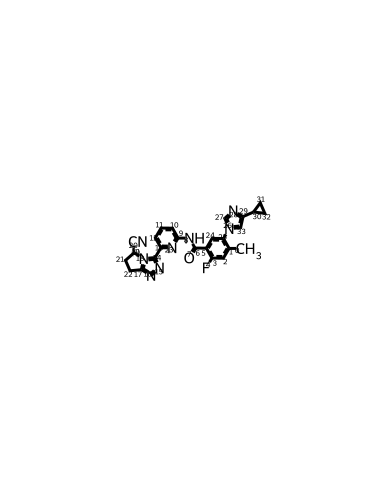 Cc1cc(F)c(C(=O)Nc2cccc(-c3nnc4n3[C@H](C#N)CC4)n2)cc1-n1cnc(C2CC2)c1